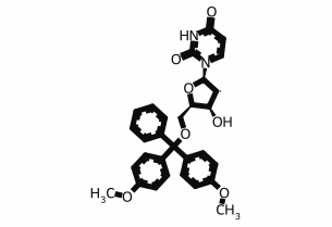 COc1ccc(C(OC[C@H]2O[C@@H](n3ccc(=O)[nH]c3=O)[CH][C@H]2O)(c2ccccc2)c2ccc(OC)cc2)cc1